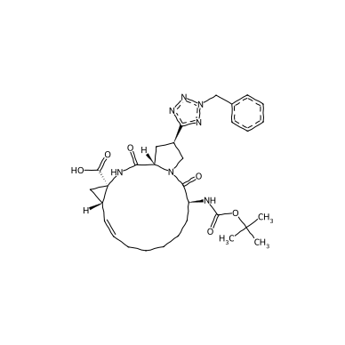 CC(C)(C)OC(=O)N[C@H]1CCCCC/C=C\[C@@H]2C[C@@]2(C(=O)O)NC(=O)[C@@H]2C[C@@H](c3nnn(Cc4ccccc4)n3)CN2C1=O